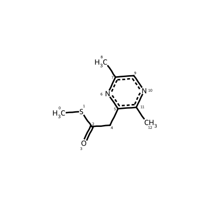 CSC(=O)Cc1nc(C)cnc1C